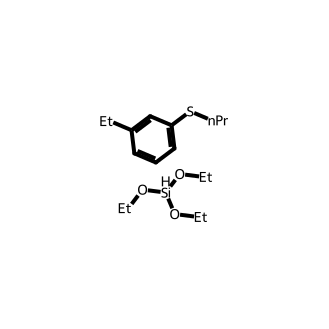 CCCSc1cccc(CC)c1.CCO[SiH](OCC)OCC